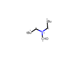 CC(C)(C)CN(C=O)CC(C)(C)C